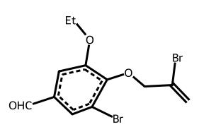 C=C(Br)COc1c(Br)cc(C=O)cc1OCC